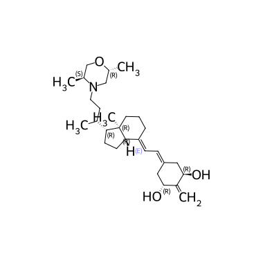 C=C1[C@H](O)CC(=C/C=C2\CCC[C@]3(C)[C@@H](C(C)CCN4C[C@@H](C)OC[C@@H]4C)CC[C@@H]23)C[C@H]1O